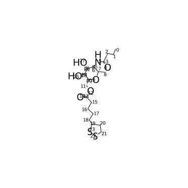 CCCC(=O)N[C@H]1C(C)O[C@H](COC(=O)CCCCC2CCSS2)[C@@H](O)[C@@H]1O